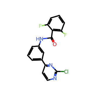 O=C(Nc1cccc(-c2ccnc(Cl)n2)c1)c1c(F)cccc1F